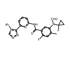 Cc1cc(F)c(C(=O)Nc2cccc(-c3nncn3C(C)C)n2)cc1N(C=O)C1(F)CC1